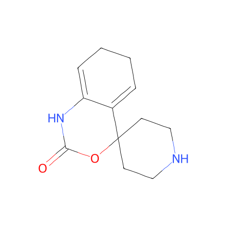 O=C1NC2=CCCC=C2C2(CCNCC2)O1